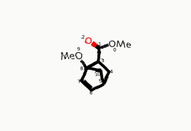 COC(=O)C1CC2C=CC1(OC)C2